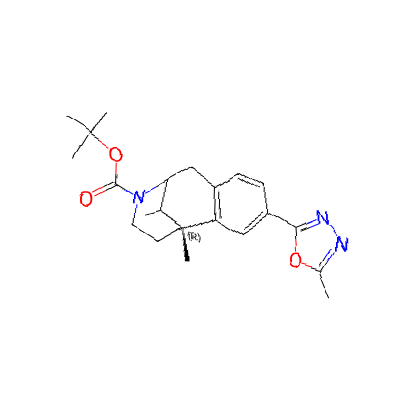 Cc1nnc(-c2ccc3c(c2)[C@]2(C)CCN(C(=O)OC(C)(C)C)C(C3)C2C)o1